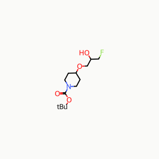 CC(C)(C)OC(=O)N1CCC(OCC(O)CF)CC1